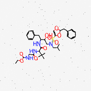 CCOC(=O)NCC(=O)NC(C(=O)NC(Cc1ccccc1)C(O)CN(CC(C)C)S(=O)(=O)C1=COC(Cc2ccccc2)O1)C(C)(C)C